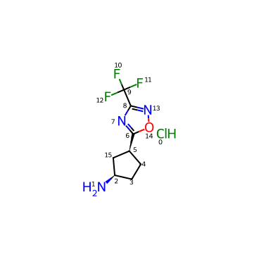 Cl.N[C@@H]1CC[C@H](c2nc(C(F)(F)F)no2)C1